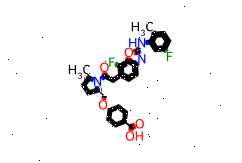 Cc1ccc(F)cc1Nc1nc2ccc(CC(=O)N3[C@H](CO[C@H]4CC[C@H](C(=O)O)CC4)CC[C@@H]3C)c(F)c2o1